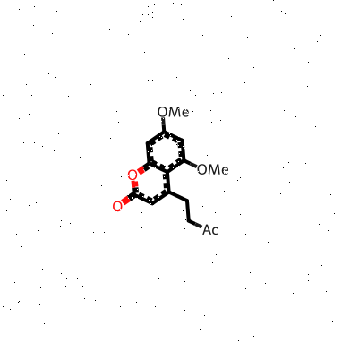 COc1cc(OC)c2c(CCC(C)=O)cc(=O)oc2c1